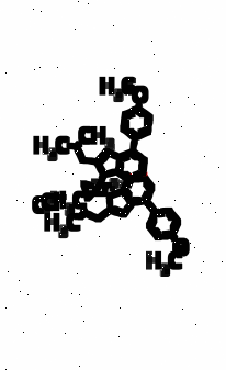 COc1ccc(-c2cccc3c2C=C(CC(C)C)[CH]3[Zr+2]2([CH]3C(CC(C)C)=Cc4c(-c5ccc(OC)cc5)cccc43)[CH2][CH2]2)cc1.[Cl-].[Cl-]